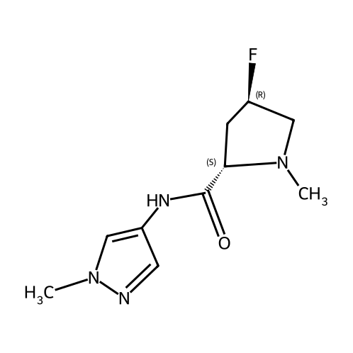 CN1C[C@H](F)C[C@H]1C(=O)Nc1cnn(C)c1